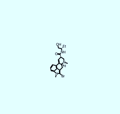 CC[C@@H](CO)NC(=O)[C@@H]1C=C2c3cccc4c3c(c(Br)n4C)C[C@H]2N(C)C1